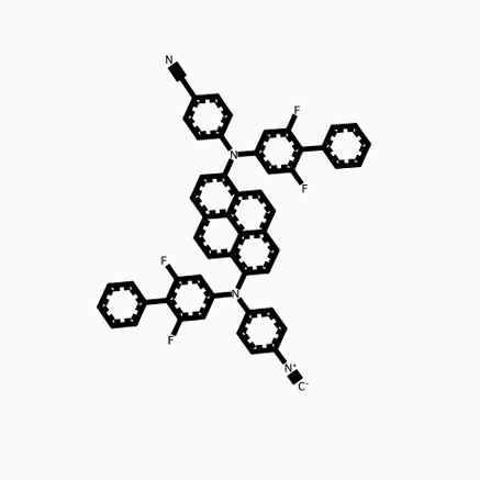 [C-]#[N+]c1ccc(N(c2cc(F)c(-c3ccccc3)c(F)c2)c2ccc3ccc4c(N(c5ccc(C#N)cc5)c5cc(F)c(-c6ccccc6)c(F)c5)ccc5ccc2c3c54)cc1